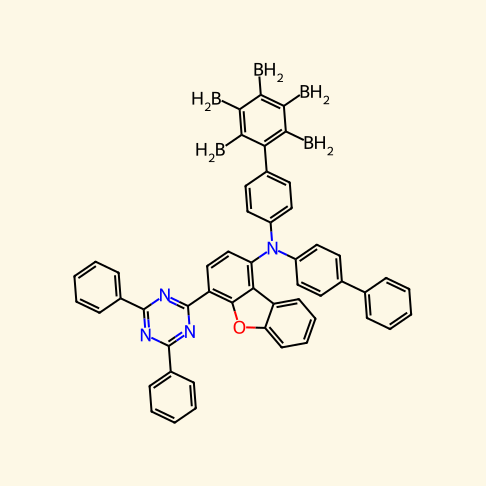 Bc1c(B)c(B)c(-c2ccc(N(c3ccc(-c4ccccc4)cc3)c3ccc(-c4nc(-c5ccccc5)nc(-c5ccccc5)n4)c4oc5ccccc5c34)cc2)c(B)c1B